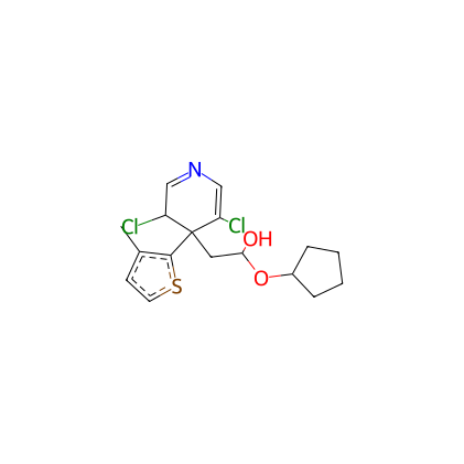 Cc1ccsc1C1(CC(O)OC2CCCC2)C(Cl)=CN=CC1Cl